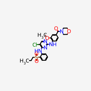 CCCS(=O)(=O)c1ccccc1Nc1nc(Nc2ccc(C(=O)N3CCOCC3)cc2OC)ncc1Cl